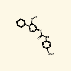 CCOc1cc(=NC(=O)Nc2ccc(OC)cc2)cnn1-c1ccccc1